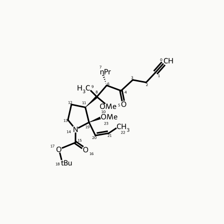 C#CCCC(=O)[C@@H](CCC)C(C)(OC)[C@@H]1CCN(C(=O)OC(C)(C)C)[C@]1(/C=C\C)OC